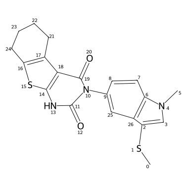 CSc1cn(C)c2ccc(-n3c(=O)[nH]c4sc5c(c4c3=O)CCCC5)cc12